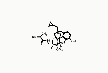 CCCCC(C)C(=O)NC[C@H]1C[C@@]23CC[C@]1(OC)[C@@H]1Oc4c(O)ccc5c4C12CCN(CC1CC1)C3C5